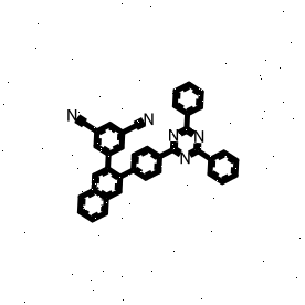 N#Cc1cc(C#N)cc(-c2cc3ccccc3cc2-c2ccc(-c3nc(-c4ccccc4)nc(-c4ccccc4)n3)cc2)c1